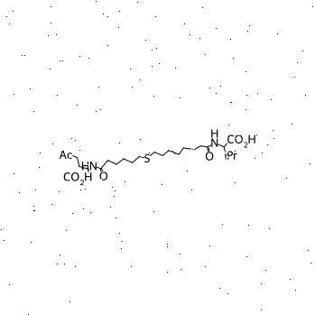 CC(=O)CCC(NC(=O)CCCCCSCCCCCCCC(=O)NC(C(=O)O)C(C)C)C(=O)O